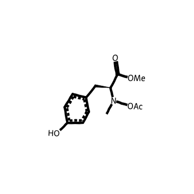 COC(=O)[C@H](Cc1ccc(O)cc1)N(C)OC(C)=O